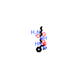 CCCC(N)C(=O)C(=O)NCC(=O)NC(C(=O)N(C)C)c1ccccc1